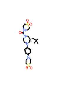 CC(C)(C)C[C@@H]1CN(C(=O)N2CCS(=O)(=O)CC2)CCN(c2ccc(N3CCS(=O)(=O)CC3)cc2)C1